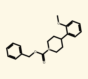 COc1ccccc1C1CCN(C(=O)OCc2ccccc2)CC1